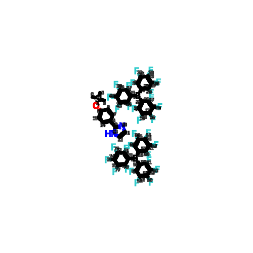 C[Si](C)(C)Oc1ccc(-c2ncc[nH]2)cc1.Fc1c(F)c(F)c(B(c2c(F)c(F)c(F)c(F)c2F)c2c(F)c(F)c(F)c(F)c2F)c(F)c1F.Fc1c(F)c(F)c(B(c2c(F)c(F)c(F)c(F)c2F)c2c(F)c(F)c(F)c(F)c2F)c(F)c1F